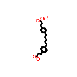 O=C(O)CCc1ccc(CCCCCc2ccc(CCC(=O)O)cc2)cc1